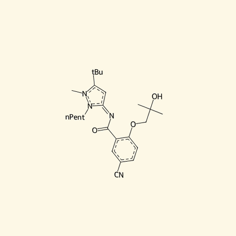 CCCCCn1c(=NC(=O)c2cc(C#N)ccc2OCC(C)(C)O)cc(C(C)(C)C)n1C